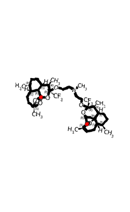 C[C@@H]1CC[C@H]2[C@@H](C)[C@](OCCN(C)CCO[C@@]3(C(F)(F)F)O[C@@H]4O[C@]5(C)CC[C@H]6[C@H](C)CC[C@@H]([C@H]3C)[C@@]46OO5)(C(F)(F)F)O[C@@H]3O[C@]4(C)CC[C@@H]1[C@]32OO4